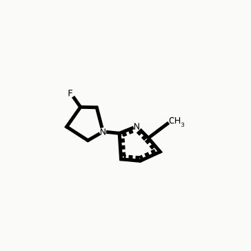 Cc1cccc(N2CCC(F)C2)n1